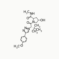 CNC(=O)C1CC(O)CN1C(=O)[C@@H](n1cc(-c2ccc(OC)cc2)nn1)C(C)(C)C